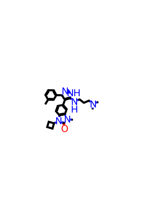 Cc1cccc(-c2n[nH]c(NCCCN(C)C)c2-c2ccc3c(c2)n(C)c(=O)n3C2CCC2)c1